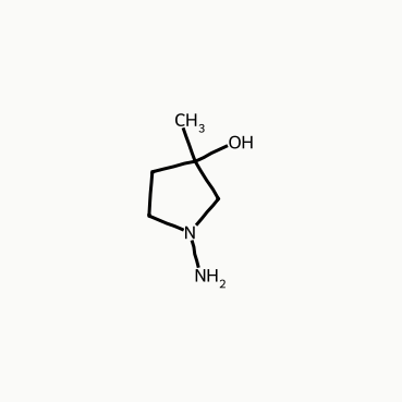 CC1(O)CCN(N)C1